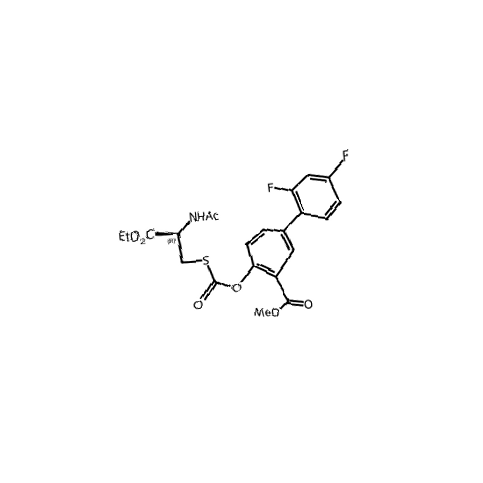 CCOC(=O)[C@H](CSC(=O)Oc1ccc(-c2ccc(F)cc2F)cc1C(=O)OC)NC(C)=O